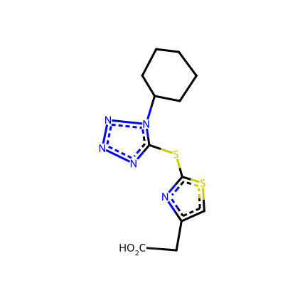 O=C(O)Cc1csc(Sc2nnnn2C2CCCCC2)n1